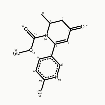 CC1CC(=O)C=C(c2ccc(Cl)nc2)N1C(=O)OC(C)(C)C